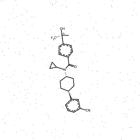 C[C@](O)(c1ccc(C(=O)N(C2CC2)[C@H]2CC[C@H](c3cccc(C#N)c3)CC2)cc1)C(F)(F)F